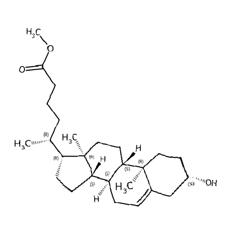 COC(=O)CCC[C@@H](C)[C@H]1CC[C@H]2[C@@H]3CC=C4C[C@@H](O)CC[C@]4(C)[C@H]3CC[C@]12C